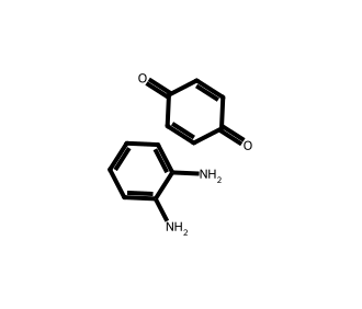 Nc1ccccc1N.O=C1C=CC(=O)C=C1